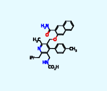 Cc1ccc(-c2c(COc3cc4ccccc4cc3C(N)=O)c(C)nc(CC(C)C)c2CNC(=O)O)cc1